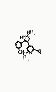 Cc1cc(C2=C(c3cccc(C#N)c3)NC(N)S2)cc(C2CC2)n1